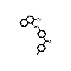 Cc1ccc(C(=O)c2ccc(N=Nc3c(O)ccc4ccccc34)cc2)cc1